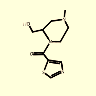 CN1CCN(C(=O)c2cncs2)C(CO)C1